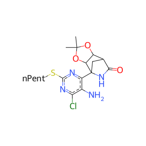 CCCCCSc1nc(Cl)c(N)c(C23CC(C(=O)N2)C2OC(C)(C)OC23)n1